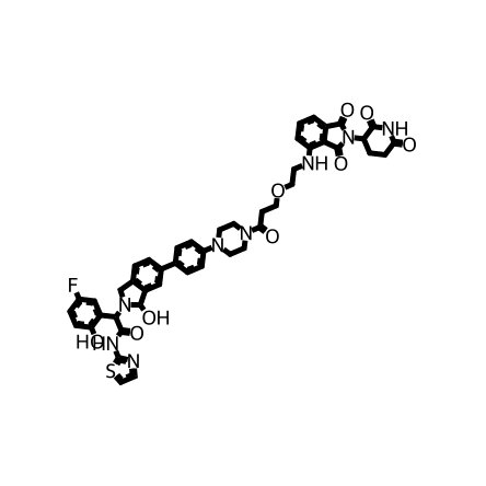 O=C1CCC(N2C(=O)c3cccc(NCCOCCC(=O)N4CCN(c5ccc(-c6ccc7c(c6)C(O)N(C(C(=O)Nc6nccs6)c6cc(F)ccc6O)C7)cc5)CC4)c3C2=O)C(=O)N1